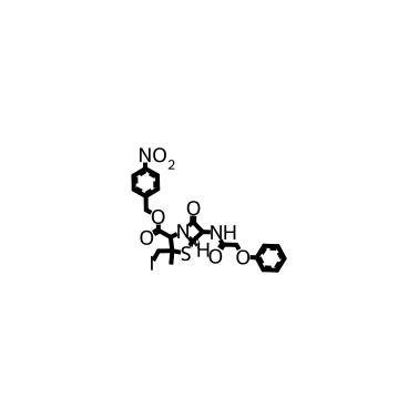 CC1(CI)S[C@@H]2C(NC(=O)COc3ccccc3)C(=O)N2C1C(=O)OCc1ccc([N+](=O)[O-])cc1